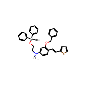 CN(CCO[Si](c1ccccc1)(c1ccccc1)C(C)(C)C)c1ccc(C=Cc2cccs2)c(OCc2ccccc2)c1